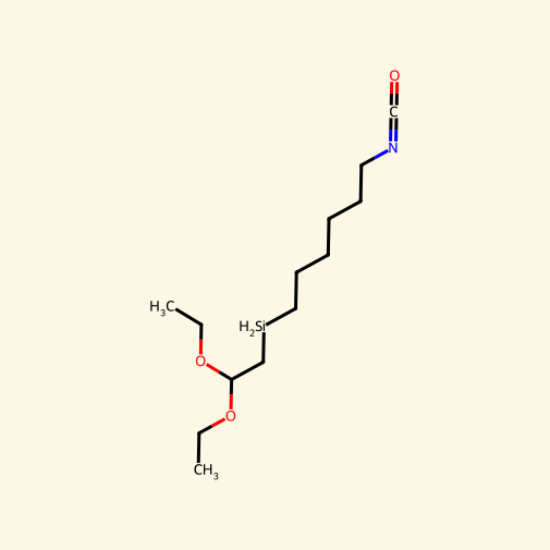 CCOC(C[SiH2]CCCCCCN=C=O)OCC